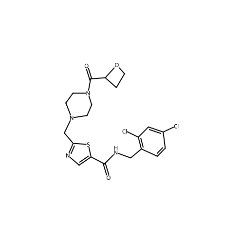 O=C(NCc1ccc(Cl)cc1Cl)c1cnc(CN2CCN(C(=O)C3CCO3)CC2)s1